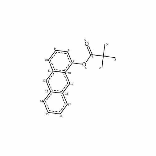 CC(C)(C)C(=O)Oc1cccc2cc3ccccc3cc12